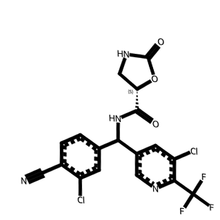 N#Cc1ccc(C(NC(=O)[C@@H]2CNC(=O)O2)c2cnc(C(F)(F)F)c(Cl)c2)cc1Cl